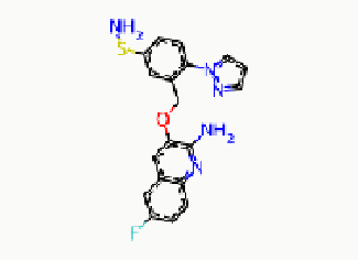 NSc1ccc(-n2cccn2)c(COc2cc3cc(F)ccc3nc2N)c1